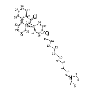 CCN(CC)CCCCCCCCCCCOc1ccc(/C(=C(\Cl)c2ccccc2)c2ccccc2)cc1